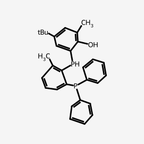 Cc1cc(C(C)(C)C)cc(Pc2c(C)cccc2P(c2ccccc2)c2ccccc2)c1O